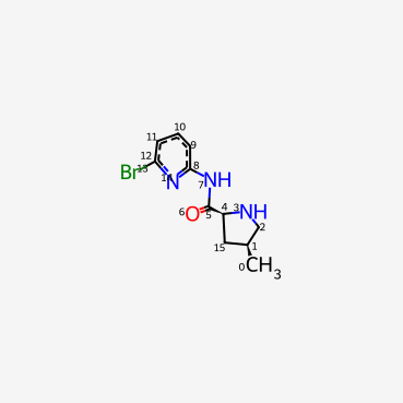 C[C@@H]1CN[C@H](C(=O)Nc2cccc(Br)n2)C1